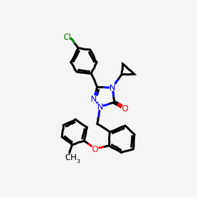 Cc1ccccc1Oc1ccccc1Cn1nc(-c2ccc(Cl)cc2)n(C2CC2)c1=O